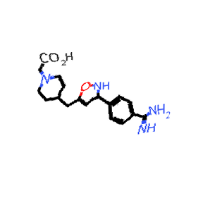 N=C(N)c1ccc(C2CC(CC3CCN(CC(=O)O)CC3)ON2)cc1